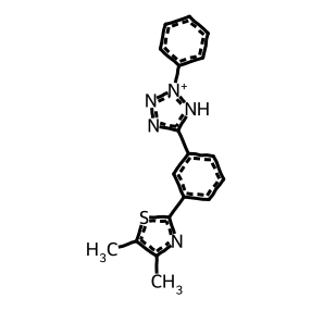 Cc1nc(-c2cccc(-c3nn[n+](-c4ccccc4)[nH]3)c2)sc1C